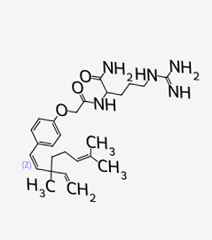 C=CC(C)(/C=C\c1ccc(OCC(=O)NC(CCCNC(=N)N)C(N)=O)cc1)CCC=C(C)C